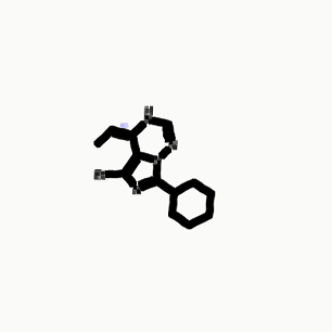 C/C=C1/NC=Nn2c(C3CCCCC3)nc(CC)c21